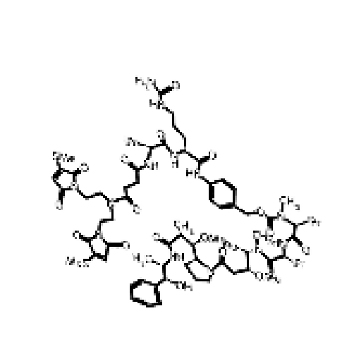 CC[C@H](C)[C@@H]([C@@H](CC(=O)N1CCC[C@H]1[C@H](OC)[C@@H](C)C(=O)N[C@H](C)[C@@H](O)c1ccccc1)OC)N(C)C(=O)[C@@H](NC(=O)[C@H](C(C)C)N(C)C(=O)OCc1ccc(NC(=O)[C@H](CCCNC(N)=O)NC(=O)[C@@H](NC(=O)CCC(=O)N(CCN2C(=O)C=C(SC)C2=O)CCN2C(=O)C=C(SC)C2=O)C(C)C)cc1)C(C)C